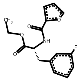 CCOC(=O)[C@@H](Cc1cccc(F)c1)NC(=O)c1ccco1